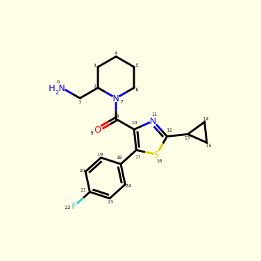 NCC1CCCCN1C(=O)c1nc(C2CC2)sc1-c1ccc(F)cc1